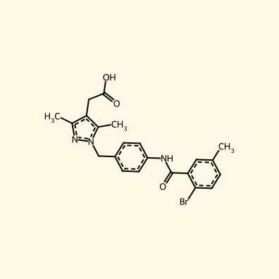 Cc1ccc(Br)c(C(=O)Nc2ccc(Cn3nc(C)c(CC(=O)O)c3C)cc2)c1